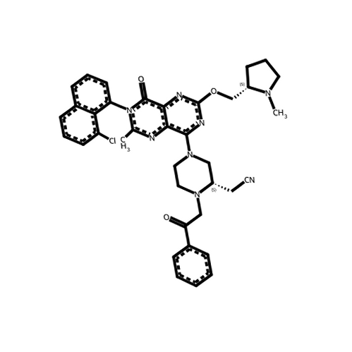 Cc1nc2c(N3CCN(CC(=O)c4ccccc4)[C@@H](CC#N)C3)nc(OC[C@@H]3CCCN3C)nc2c(=O)n1-c1cccc2cccc(Cl)c12